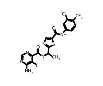 CC(NC(=O)c1ncnc(N)c1Cl)c1ncc(C(=O)Nc2ccc(C(F)(F)F)c(Cl)c2)s1